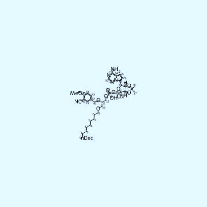 CCCCCCCCCCCCCCCCCCOC[C@H](COP(=O)(O)OC[C@@]1(C#N)O[C@@H](c2ccc3c(N)ncnn23)[C@@H]2OC(C)(C)O[C@@H]21)OCc1ccc(OC)c(C#N)c1